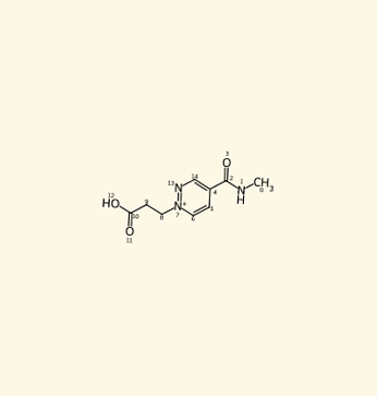 CNC(=O)c1cc[n+](CCC(=O)O)nc1